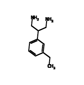 CCc1cccc(C(CN)CN)c1